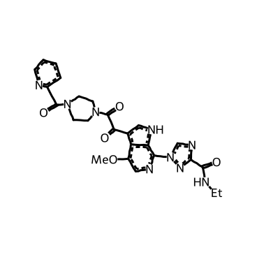 CCNC(=O)c1ncn(-c2ncc(OC)c3c(C(=O)C(=O)N4CCN(C(=O)c5ccccn5)CC4)c[nH]c23)n1